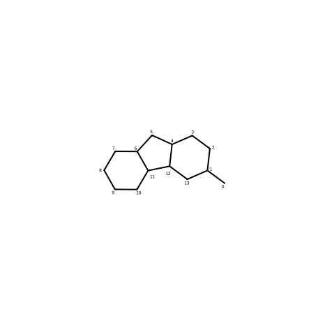 CC1CCC2CC3CCCCC3C2C1